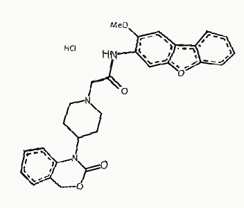 COc1cc2c(cc1NC(=O)CN1CCC(N3C(=O)OCc4ccccc43)CC1)oc1ccccc12.Cl